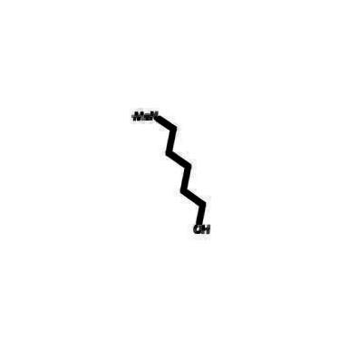 C[N]CCCCCO